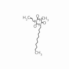 C=CCn1c(=O)n(C)c(=O)n(CCCCCCCCCCC)c1=O